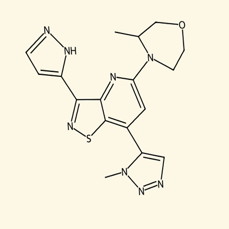 CC1COCCN1c1cc(-c2cnnn2C)c2snc(-c3ccn[nH]3)c2n1